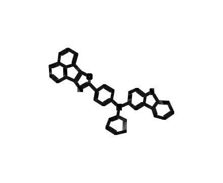 c1ccc(N(c2ccc(-c3nc4c(o3)-c3cccc5cccc-4c35)cc2)c2ccc3sc4ccccc4c3c2)cc1